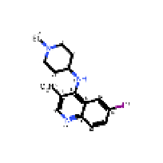 CCN1CCC(Nc2c([N+](=O)[O-])cnc3ccc(I)cc23)CC1